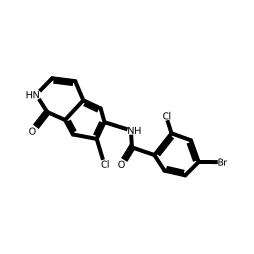 O=C(Nc1cc2cc[nH]c(=O)c2cc1Cl)c1ccc(Br)cc1Cl